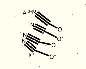 N#C[O-].N#C[O-].N#C[O-].N#C[O-].[Al+3].[K+]